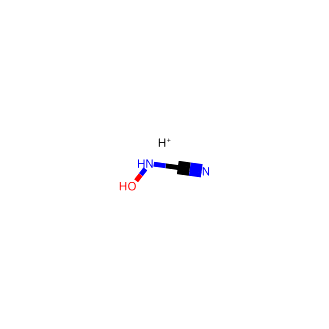 N#CNO.[H+]